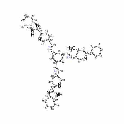 Cc1cc(-c2ccccc2)ncc1/C=C/c1cc(/C=C/c2ccc(-c3nc4ccccc4[nH]3)nc2)cc(/C=C/c2ccc(-c3nc4ccccc4[nH]3)nc2)c1